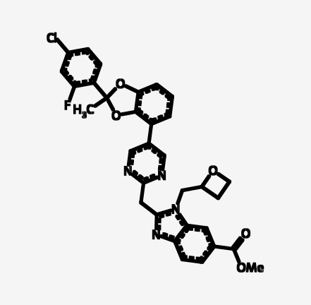 COC(=O)c1ccc2nc(Cc3ncc(-c4cccc5c4OC(C)(c4ccc(Cl)cc4F)O5)cn3)n(CC3CCO3)c2c1